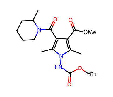 COC(=O)c1c(C(=O)N2CCCCC2C)c(C)n(NC(=O)OC(C)(C)C)c1C